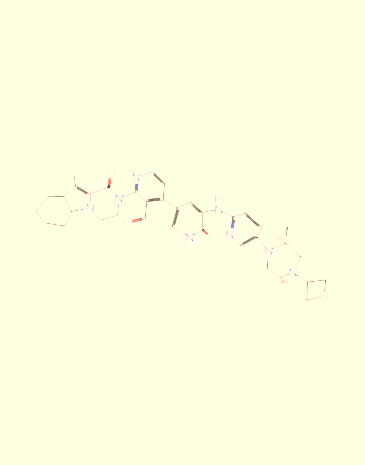 C[C@@H]1CN(c2ccc(Nc3cc(-c4ccnc(N5CCN6C(=C(F)C7CCCCC76)C5=O)c4C=O)cn(C)c3=O)nc2)[C@@H](C)CN1C1COC1